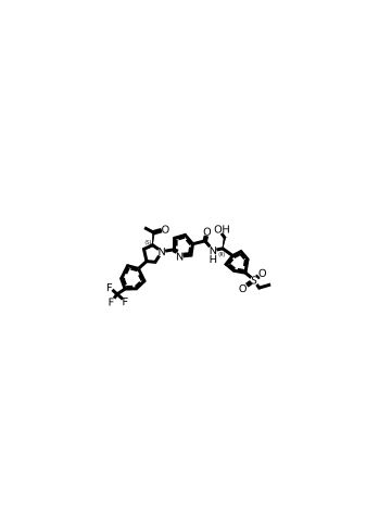 CCS(=O)(=O)c1ccc([C@H](CO)NC(=O)c2ccc(N3CC(c4ccc(C(F)(F)F)cc4)C[C@H]3C(C)=O)nc2)cc1